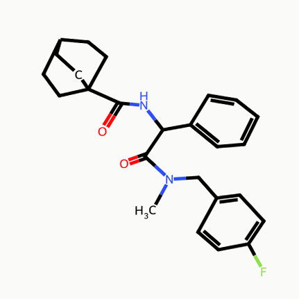 CN(Cc1ccc(F)cc1)C(=O)C(NC(=O)C12CCC(CC1)CC2)c1ccccc1